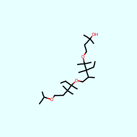 CCC(C)(OCC(C)C(C)(CC)C(C)(C)OCCC(C)(C)O)C(C)(C)CCOC(C)C